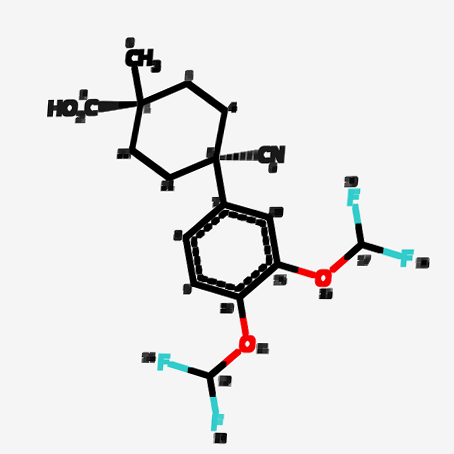 C[C@]1(C(=O)O)CC[C@@](C#N)(c2ccc(OC(F)F)c(OC(F)F)c2)CC1